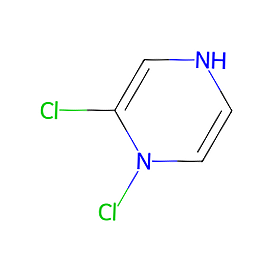 ClC1=CNC=CN1Cl